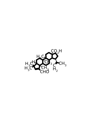 C=C(C)[C@@H]1CC[C@]2(C(=O)O)CC[C@]3(C)C(CCC4[C@@]5(C)C(C=O)=CC(C)(C)[C@@H]5CC[C@]43C)C12